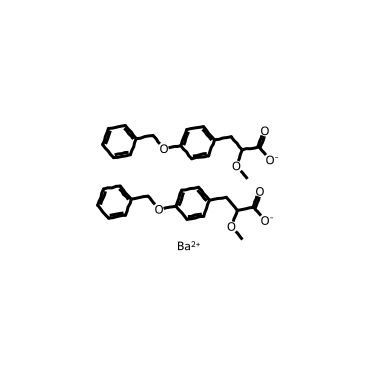 COC(Cc1ccc(OCc2ccccc2)cc1)C(=O)[O-].COC(Cc1ccc(OCc2ccccc2)cc1)C(=O)[O-].[Ba+2]